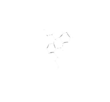 O=S(=O)(O)CCCc1ccccc1Oc1ccccc1CCCS(=O)(=O)O